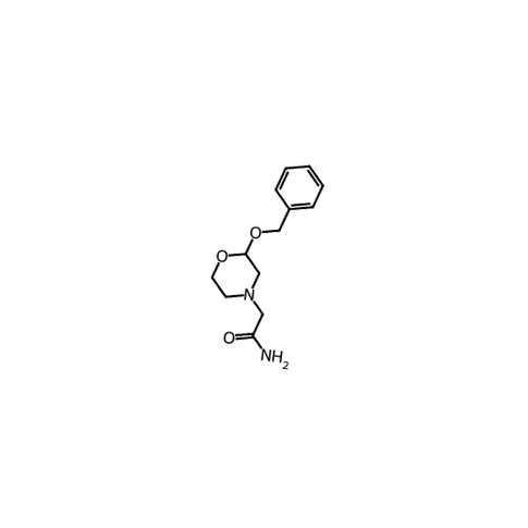 NC(=O)CN1CCOC(OCc2ccccc2)C1